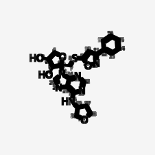 O[C@@H]1[C@@H](O)CO[C@]1(CSc1cc(-c2ccccc2)no1)n1cnc2c(NC3CCOC3)ncnc21